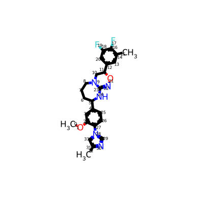 COc1cc(C2CCCN3CC(c4cc(C)c(F)c(F)c4)ON=C3N2)ccc1-n1cnc(C)c1